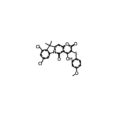 COc1ccc(Sc2c(O)c3c(=O)n4c(cc3oc2=O)C(C)(C)c2c(Cl)cc(Cl)cc2-4)cc1